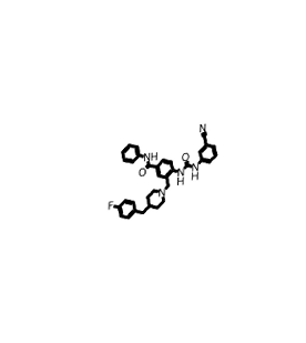 N#Cc1cccc(NC(=O)Nc2ccc(C(=O)Nc3ccccc3)cc2CN2CCC(Cc3ccc(F)cc3)CC2)c1